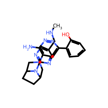 CNCc1cnc(N2C3CCC2CN(c2cc(-c4ccccc4O)nnc2N)C3)nc1